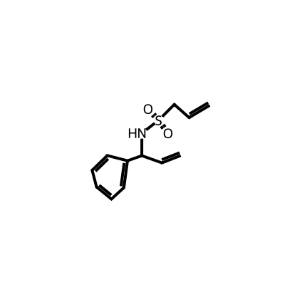 C=CCS(=O)(=O)NC(C=C)c1ccccc1